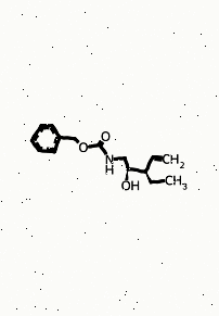 C=C[C@@H](CC)[C@@H](O)CNC(=O)OCc1ccccc1